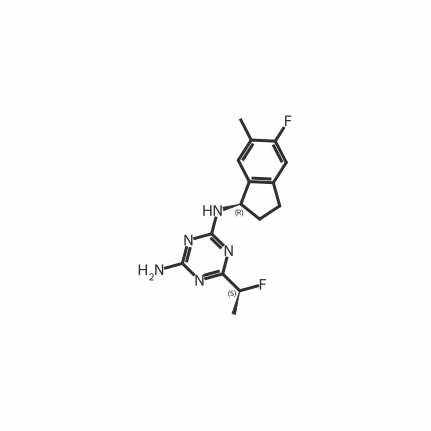 Cc1cc2c(cc1F)CC[C@H]2Nc1nc(N)nc([C@H](C)F)n1